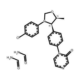 C[C@@H]1OCN(c2ccc(Cl)cc2)[C@@H]1c1ccc(-n2ccncc2=O)cc1.NC=O.NC=O